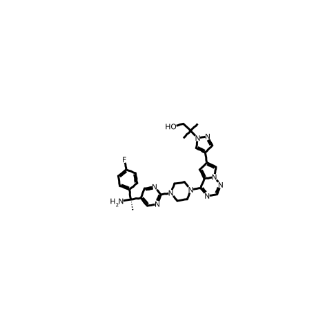 CC(C)(CO)n1cc(-c2cc3c(N4CCN(c5ncc([C@@](C)(N)c6ccc(F)cc6)cn5)CC4)ncnn3c2)cn1